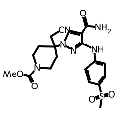 COC(=O)N1CCC(CC#N)(n2cc(C(N)=O)c(Nc3ccc(S(C)(=O)=O)cc3)n2)CC1